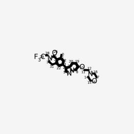 Cc1cc(-c2cnn3cc(OCCN4CCOCC4)ccc23)cc2c1C(=O)N(CC(F)(F)F)CC2